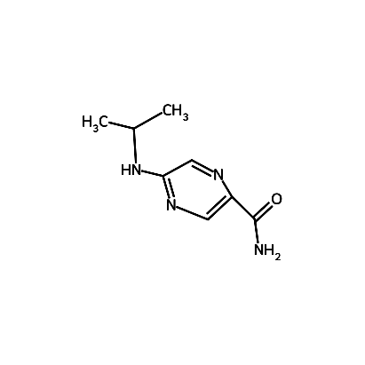 CC(C)Nc1cnc(C(N)=O)cn1